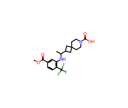 COC(=O)c1ccc(C(F)(F)F)c(NC(C)C2CC3(CCN(C(=O)O)CC3)C2)c1